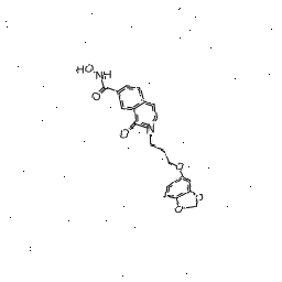 O=C(NO)c1ccc2ccn(CCCOc3ccc4c(c3)OCO4)c(=O)c2c1